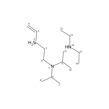 C=C[SiH2]CCN(C(C)C)C(C)C.CCNCC